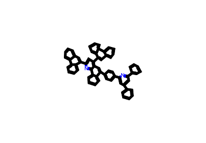 c1ccc(-c2cc(-c3ccccc3)nc(-c3ccc(-c4cc5c(-c6cc7ccccc7c7ccccc67)cc(-c6cc7ccccc7c7ccccc67)nc5c5ccccc45)cc3)c2)cc1